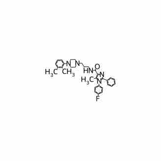 Cc1cccc(N2CCN(CCCNC(=O)c3nc(-c4ccccc4)n(-c4ccc(F)cc4)c3C)CC2)c1C